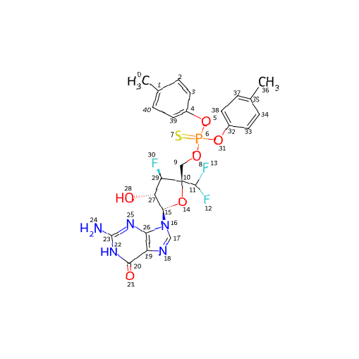 Cc1ccc(OP(=S)(OC[C@@]2(C(F)F)O[C@@H](n3cnc4c(=O)[nH]c(N)nc43)[C@H](O)[C@H]2F)Oc2ccc(C)cc2)cc1